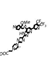 COCC1(CN(C)c2cc(-c3cnc(C(F)(F)F)c(C(F)(F)F)c3)nc3nc(-c4cnc(N5CCN(CCC(=O)[O-])C[C@H]5C)cn4)[nH]c23)CCCC1.[Na+]